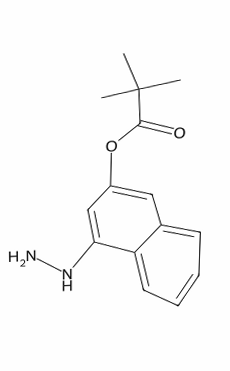 CC(C)(C)C(=O)Oc1cc(NN)c2ccccc2c1